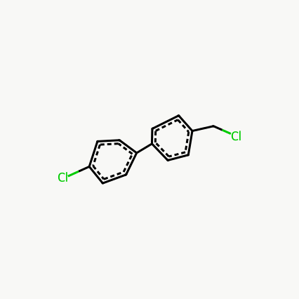 ClCc1ccc(-c2ccc(Cl)cc2)cc1